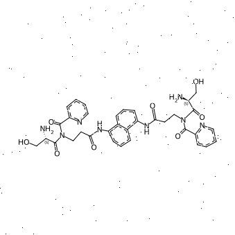 N[C@@H](CO)C(=O)N(CCC(=O)Nc1cccc2c(NC(=O)CCN(C(=O)c3ccccn3)C(=O)[C@@H](N)CO)cccc12)C(=O)c1ccccn1